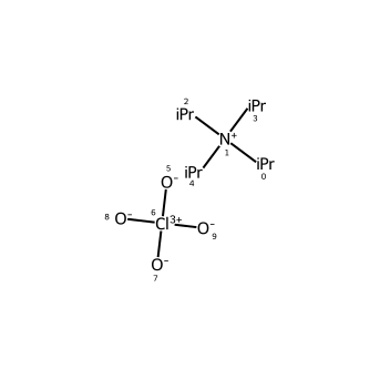 CC(C)[N+](C(C)C)(C(C)C)C(C)C.[O-][Cl+3]([O-])([O-])[O-]